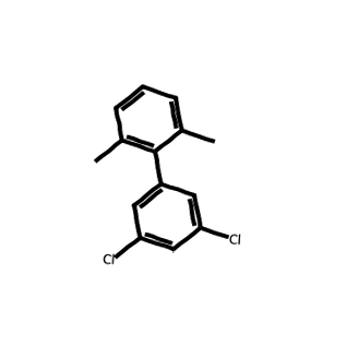 Cc1cccc(C)c1-c1cc(Cl)[c]c(Cl)c1